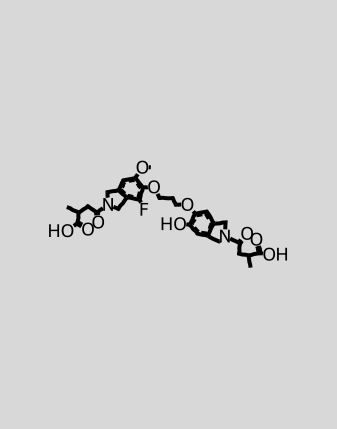 COc1cc2c(c(F)c1OCCCOc1cc3c(cc1O)CN(C(=O)CC(C)C(=O)O)C3)CN(C(=O)CC(C)C(=O)O)C2